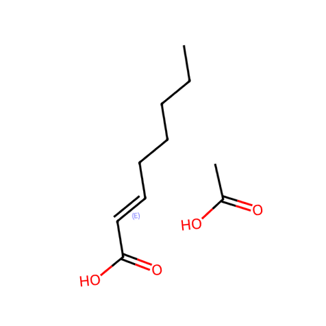 CC(=O)O.CCCCC/C=C/C(=O)O